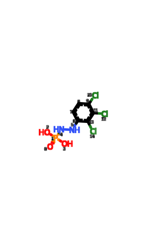 O=P(O)(O)NNc1ccc(Cl)c(Cl)c1Cl